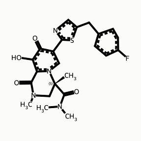 CN(C)C(=O)[C@]1(C)CN(C)C(=O)c2c(O)c(=O)c(-c3ncc(Cc4ccc(F)cc4)s3)cn21